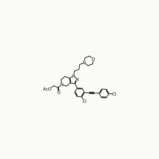 CC(=O)OCC(=O)N1CCc2c(c(-c3ccc(Cl)c(C#Cc4ccc(Cl)cc4)c3)nn2CCCN2CCOCC2)C1